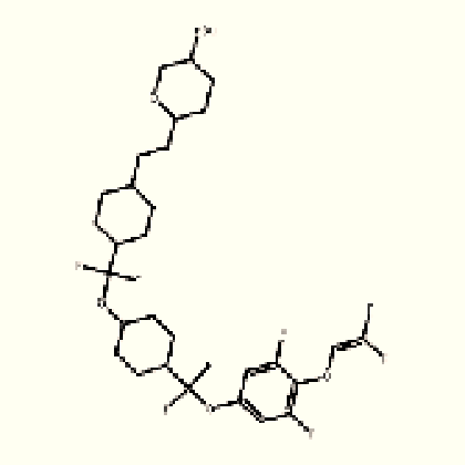 CCCCC1CCC(CCC2CCC(C(F)(F)OC3CCC(C(F)(F)Oc4cc(F)c(OC=C(F)F)c(F)c4)CC3)CC2)OC1